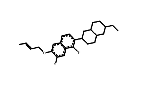 C/C=C/COc1cc2ccc(C3CCC4CC(CC)CCC4C3)c(F)c2cc1F